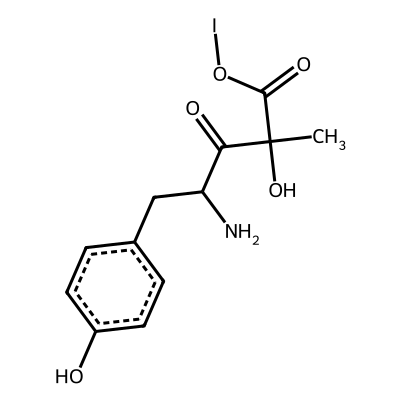 CC(O)(C(=O)OI)C(=O)C(N)Cc1ccc(O)cc1